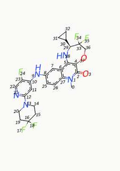 Cn1c(=O)c2c(c3cc(Nc4cc(N5CCC(F)(F)CC5)ncc4F)ccc31)N[C@@H](C1CC1)C(F)(F)CO2